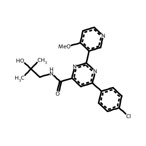 COc1ccncc1-c1nc(C(=O)NCC(C)(C)O)cc(-c2ccc(Cl)cc2)n1